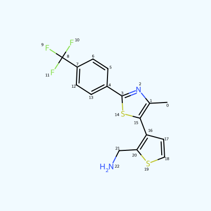 Cc1nc(-c2ccc(C(F)(F)F)cc2)sc1-c1ccsc1CN